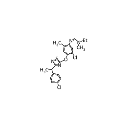 CCN(C)/C=N\c1cc(Cl)c(Oc2nc(C(C)c3ccc(Cl)cc3)ns2)cc1C